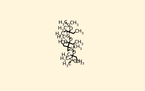 CCC(CC)(O[Si](C)(C)C)[SiH](C)OC(C)(CC)C1(CC)C[Si]1(C)OC(C)(CC)[Si](C)(C)C